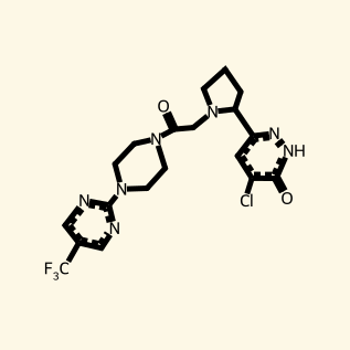 O=C(CN1CCCC1c1cc(Cl)c(=O)[nH]n1)N1CCN(c2ncc(C(F)(F)F)cn2)CC1